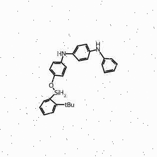 CC(C)(C)c1ccccc1[SiH2]Oc1ccc(Nc2ccc(Nc3ccccc3)cc2)cc1